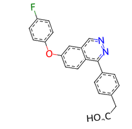 O=C(O)Cc1ccc(-c2nncc3cc(Oc4ccc(F)cc4)ccc23)cc1